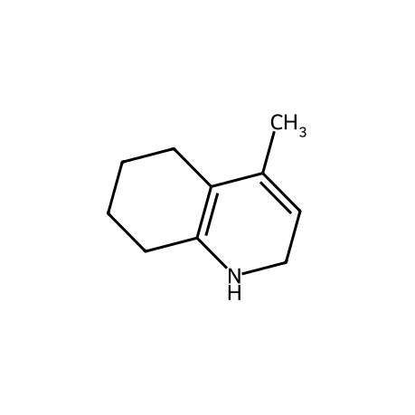 CC1=CCNC2=C1CCCC2